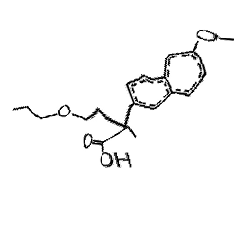 CCCOCCC(C)(C(=O)O)c1ccc2cc(OC)ccc2c1